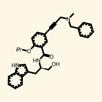 CC(C)Oc1ccc(C#CCN(C)Cc2ccccc2)cc1C(=O)N[C@@H](CO)Cc1c[nH]c2ccccc12